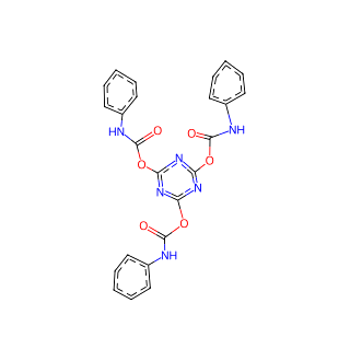 O=C(Nc1ccccc1)Oc1nc(OC(=O)Nc2ccccc2)nc(OC(=O)Nc2ccccc2)n1